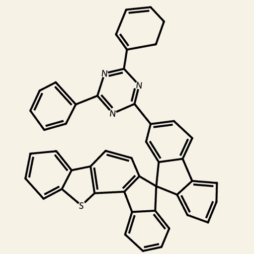 C1=CCCC(c2nc(-c3ccccc3)nc(-c3ccc4c(c3)C3(c5ccccc5-4)c4ccccc4-c4c3ccc3c4sc4ccccc43)n2)=C1